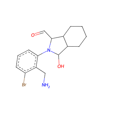 NCc1c(Br)cccc1N1C(O)C2CCCCC2C1C=O